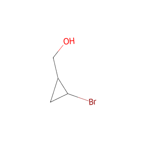 OCC1CC1Br